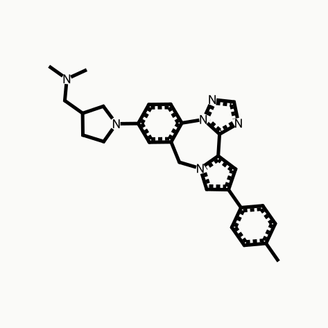 Cc1ccc(-c2cc3n(c2)Cc2cc(N4CCC(CN(C)C)C4)ccc2-n2ncnc2-3)cc1